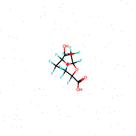 O=C(O)C(F)(OC(F)(OC(F)(C(=O)O)C(F)(F)F)C(F)(F)F)C(F)(F)F